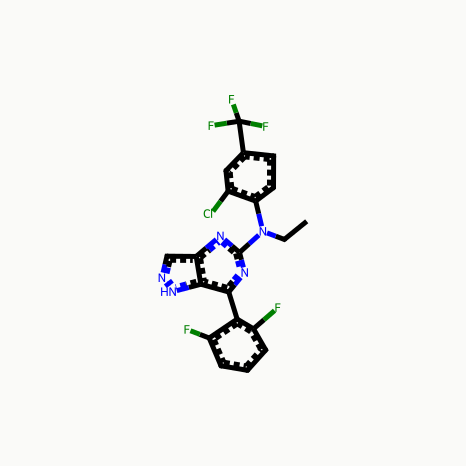 CCN(c1nc(-c2c(F)cccc2F)c2[nH]ncc2n1)c1ccc(C(F)(F)F)cc1Cl